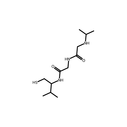 CC(C)NCC(=O)NCC(=O)NC(CS)C(C)C